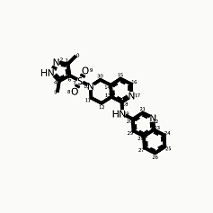 Cc1n[nH]c(C)c1S(=O)(=O)N1CCc2c(ccnc2Nc2cnc3ccccc3c2)C1